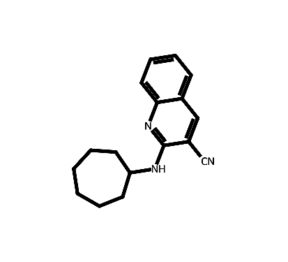 N#Cc1cc2ccccc2nc1NC1CCCCCC1